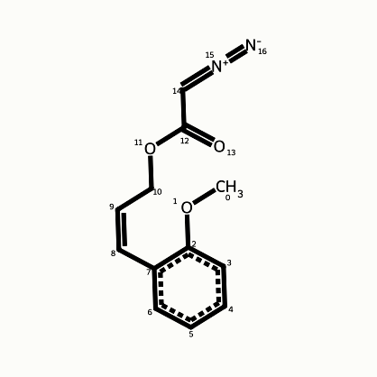 COc1ccccc1/C=C\COC(=O)C=[N+]=[N-]